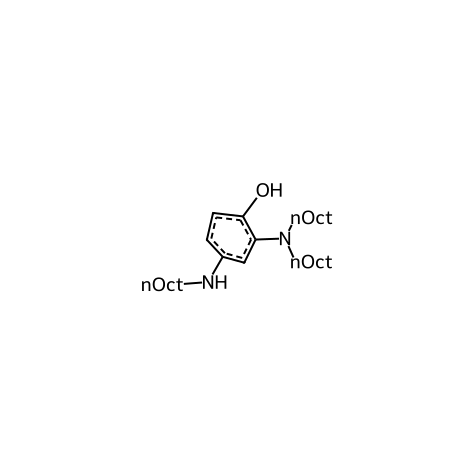 CCCCCCCCNc1ccc(O)c(N(CCCCCCCC)CCCCCCCC)c1